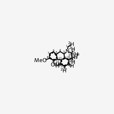 [2H]CN1C2Cc3ccc(OC)c(OC)c3-c3c([2H])c([2H])c([2H])c(c32)C([2H])([2H])C1([2H])[2H]